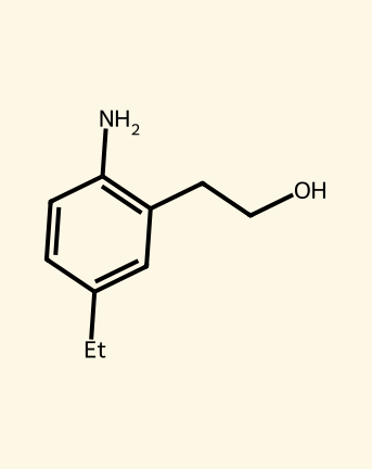 CCc1ccc(N)c(CCO)c1